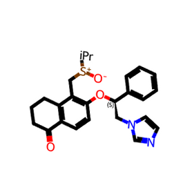 CC(C)[S+]([O-])Cc1c(O[C@H](Cn2ccnc2)c2ccccc2)ccc2c1CCCC2=O